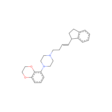 C(=C\C1CCc2ccccc21)/CCN1CCN(c2cccc3c2OCCO3)CC1